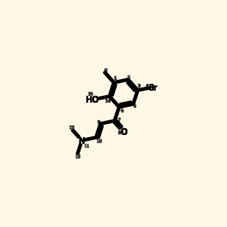 Cc1cc(Br)cc(C(=O)C=CN(C)C)c1O